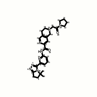 CC1(C)CCc2nnc(-c3cccc(NC(=O)c4cc5c(cn4)CCN(CC(=O)N4CCCC4)C5)n3)n21